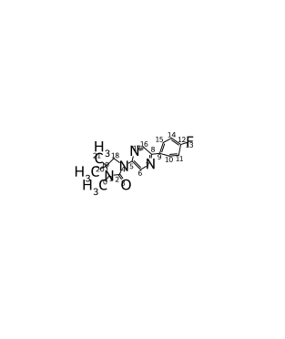 CN1C(=O)N(c2cnc(-c3ccc(F)cc3)cn2)CC1(C)C